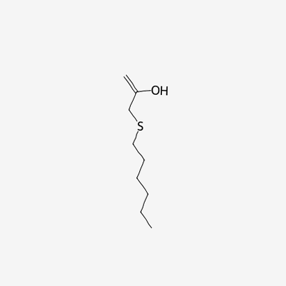 C=C(O)CSCCCCCC